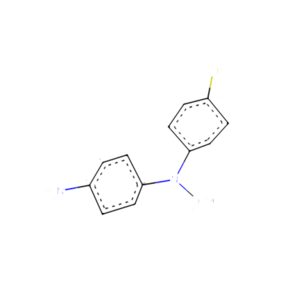 CCCCCN(c1ccc(N)cc1)c1ccc(S)cc1.Cl